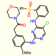 COc1ccc(CC(=O)N2CCOCC2)cc1Nc1ncc(Cl)c(Nc2ccccc2S(=O)(=O)C(C)C)n1